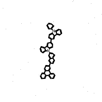 c1ccc(-n2c3ccccc3c3cc(-c4ccc5c(c4)c4ccccc4n5-c4ccc5ccc(-c6ccc7c8ccccc8c8ccccc8c7c6)cc5c4)ccc32)cc1